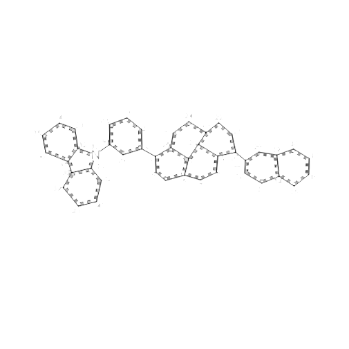 c1cc(-c2ccc3ccc4c(-c5ccc6ccccc6c5)ccc5ccc2c3c54)cc(-n2c3ccccc3c3ccccc32)c1